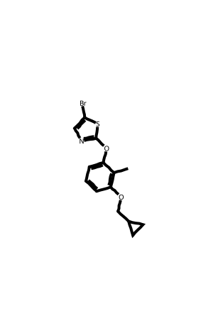 Cc1c(OCC2CC2)cccc1Oc1ncc(Br)s1